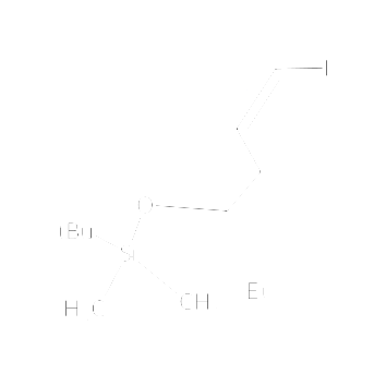 CC[C@@H](C/C=C\I)O[Si](C)(C)C(C)(C)C